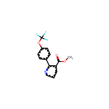 COC(=O)c1cccnc1-c1ccc(OC(F)(F)F)cc1